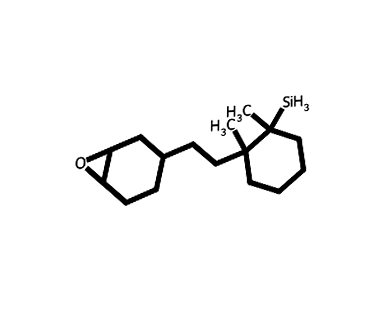 CC1([SiH3])CCCCC1(C)CCC1CCC2OC2C1